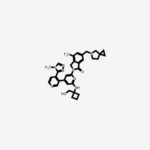 Cn1cnnc1-c1ccncc1-c1cc(NC2(CO)CCC2)nc(N2Cc3c(cc(CN4CCC5(CC5)C4)cc3C(F)(F)F)C2=O)c1